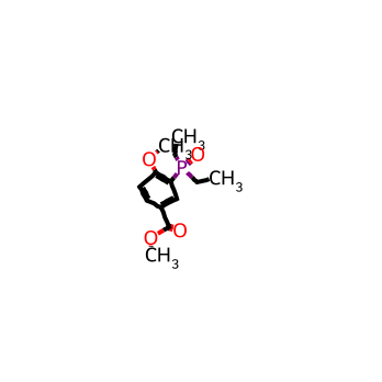 CCP(=O)(CC)c1cc(C(=O)OC)ccc1OC